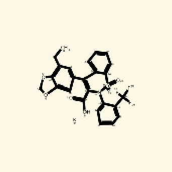 CCc1cc(C2=C(C(=O)O)N(c3ccccc3C(F)(F)F)S(=O)(=O)c3ccccc32)cc2c1OCO2.[K]